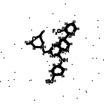 CC1CN(Cc2nc(Nc3ccc(C(C)(C)C)cc3)c3ncc(-c4ncccc4C(F)(F)F)cc3n2)CC(C)O1